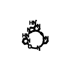 CNc1ncc2c3cc(ncc13)Nc1cccc(n1)OCCN(C)Cc1ccnc(c1)C#C2